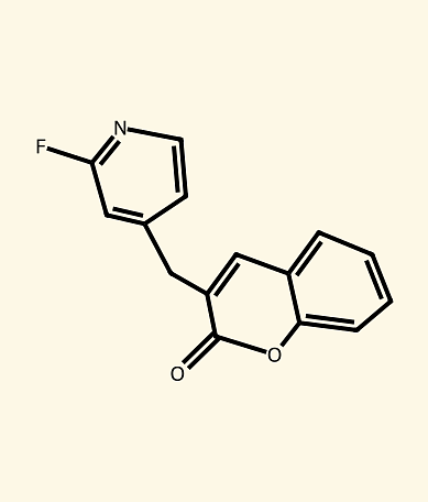 O=c1oc2ccccc2cc1Cc1ccnc(F)c1